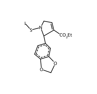 CCOC(=O)C1=CCN(SI)C1c1ccc2c(c1)OCO2